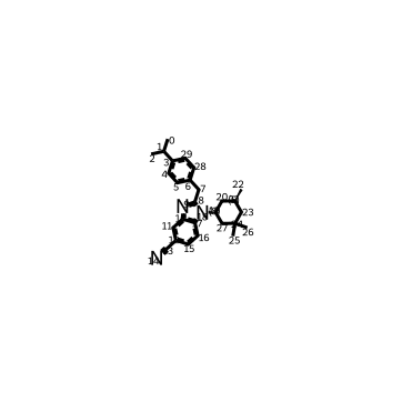 CC(C)c1ccc(Cc2nc3cc(C#N)ccc3n2[C@H]2C[C@@H](C)CC(C)(C)C2)cc1